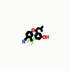 CC(C)CC(Oc1ccc(C#N)c(C(F)(F)F)c1)c1cccc(O)c1